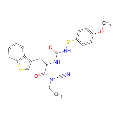 CCN(C#N)C(=O)C(Cc1csc2ccccc12)NC(=O)NSc1ccc(OC)cc1